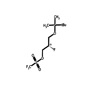 CC(C)(C)[Si](C)(C)OC[C@H](F)COS(=O)(=O)C(F)(F)F